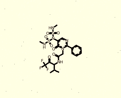 CNS(=O)(=O)N(c1cnc(-c2ccccc2)n(CC(=O)NC(C(=O)C(F)(F)F)C(C)C)c1=O)S(=O)(=O)NC